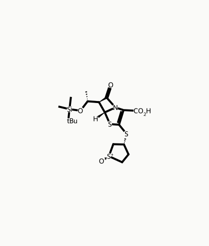 C[C@@H](O[Si](C)(C)C(C)(C)C)[C@H]1C(=O)N2C(C(=O)O)=C(S[C@@H]3CC[S@@+]([O-])C3)S[C@H]12